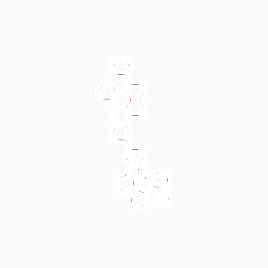 c1ccc(-c2ccccc2-c2ccccc2C2Cc3ccc(-c4ccc5c(c4)c4ccccc4n5-c4cccc5c4-c4ccccc4CO5)cc3-c3ccccc32)cc1